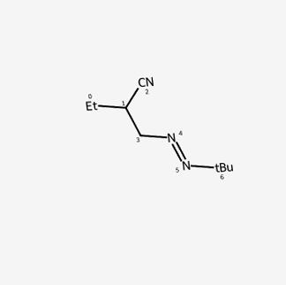 CCC(C#N)C/N=N/C(C)(C)C